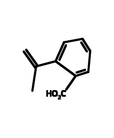 C=C(C)c1ccccc1C(=O)O